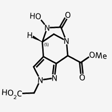 COC(=O)C1c2nn(CC(=O)O)cc2[C@H]2CN1C(=O)N2O